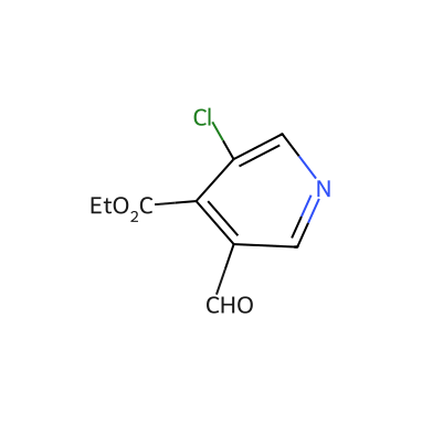 CCOC(=O)c1c(Cl)cncc1C=O